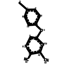 Cc1ccc(Oc2cnc(C#N)c(C#N)n2)cc1